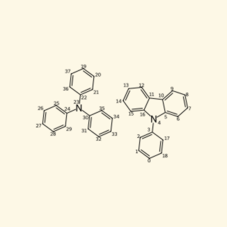 c1ccc(-n2c3ccccc3c3ccccc32)cc1.c1ccc(N(c2ccccc2)c2ccccc2)cc1